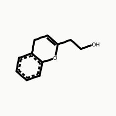 OCCC1=CCc2ccccc2O1